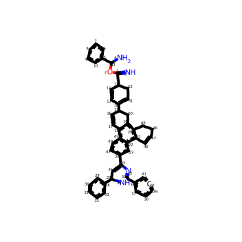 N=C(OC(N)c1ccccc1)C1C=CC(C2C=Cc3c(c4c(c5cc(C6=CC(c7ccccc7)NC(c7ccccc7)=N6)ccc35)C=CCC4)C2)=CC1